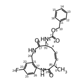 C[C@@H]1C=CC[C@H](NC(=O)OCc2ccccc2)C(=O)NCc2cc(F)ccc2NC1=O